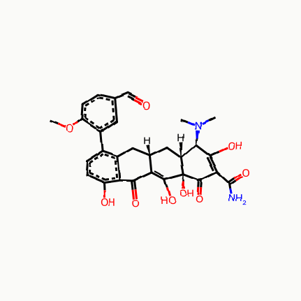 COc1ccc(C=O)cc1-c1ccc(O)c2c1C[C@@H]1C[C@@H]3[C@@H](N(C)C)C(O)=C(C(N)=O)C(=O)[C@]3(O)C(O)=C1C2=O